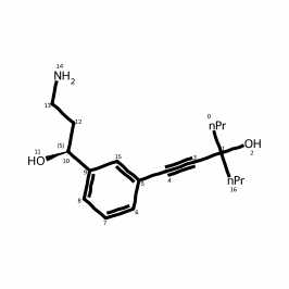 CCCC(O)(C#Cc1cccc([C@@H](O)CCN)c1)CCC